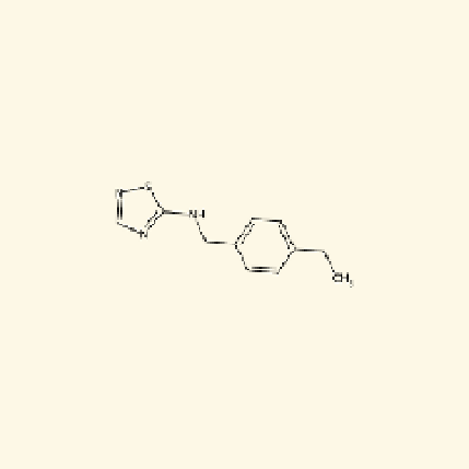 CCc1ccc(CNc2ncns2)cc1